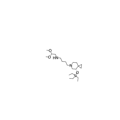 CC[Si](CC)(CC)O[C@@H]1CN(CCCCNCC(OC)OC)CCC12CC2